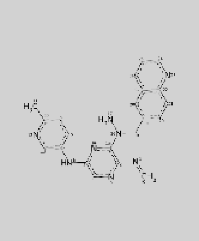 C=Nc1ncc(Nc2ccc(C)nc2)nc1N(N)Cc1ccc2ncccc2c1